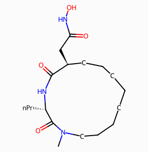 CCC[C@@H]1NC(=O)[C@@H](CC(=O)NO)CCCCCCCCN(C)C1=O